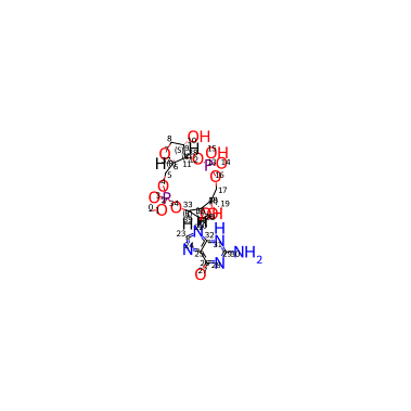 COP1(=O)OC[C@H]2OC[C@H](O)[C@@H]2OP(=O)(O)OC[C@@]2(C)O[C@@H](n3cnc4c(=O)nc(N)[nH]c43)[C@H](O1)[C@@H]2O